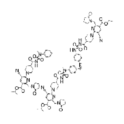 CC(C)OC(=O)c1cc(C#N)c(N2CCC(C(=O)NS(=O)(=O)N(C)c3ccc(F)cc3)CC2)nc1CN1CCCC1=O.CC(C)OC(=O)c1cc(C#N)c(N2CCC(C(=O)NS(=O)(=O)N(C)c3ccccc3)CC2)nc1CN1CCCC1=O.CCOC(=O)c1cc(C#N)c(N2CCC(C(=O)NS(=O)(=O)Nc3ccc(F)cc3)CC2)nc1CN1CCCC1=O